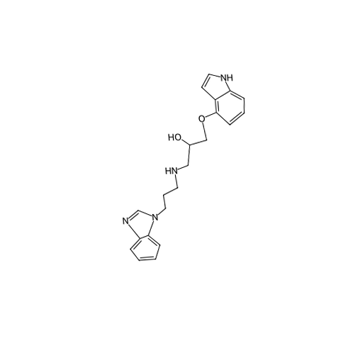 OC(CNCCCn1cnc2ccccc21)COc1cccc2[nH]ccc12